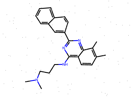 Cc1ccc2c(NCCCN(C)C)nc(-c3ccc4ccccc4c3)nc2c1C